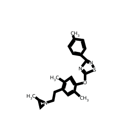 Cc1ccc(-c2nsc(Oc3cc(C)c(CCN4CC4C)cc3C)n2)cc1